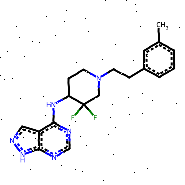 Cc1cccc(CCN2CCC(Nc3ncnc4[nH]ncc34)C(F)(F)C2)c1